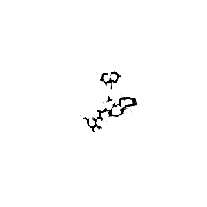 Cc1cc(N)nc(-c2nc3c4c(nc(OC[C@@]56CCCN5C[C@H](F)C6)nc4c2F)N2C[C@H]4CC[C@H](N4)[C@@H]2CC3)c1C(F)(F)F